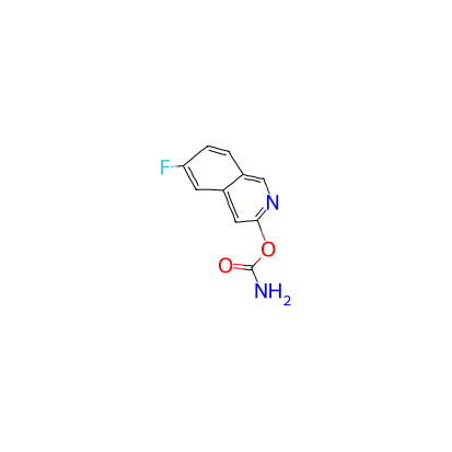 NC(=O)Oc1cc2cc(F)ccc2cn1